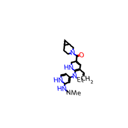 C=CC1=C(N(CC)C2=CC(NNC)NC=C2)NCC(C(=O)N2CCC3CC3C2)=C1